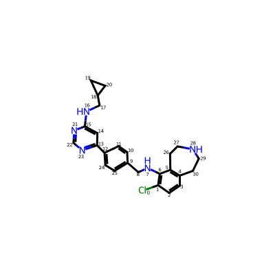 Clc1ccc2c(c1NCc1ccc(-c3cc(NCC4CC4)ncn3)cc1)CCNCC2